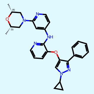 C[C@@H]1CN(c2cc(Nc3ncccc3Oc3cn(C4CC4)nc3-c3ccccc3)ccn2)C[C@H](C)O1